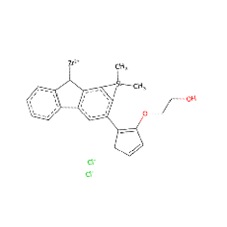 C[Si]1(C)c2c(C3=C(OCCO)C=CC3)cc3c(c21)[CH]([Zr+2])c1ccccc1-3.[Cl-].[Cl-]